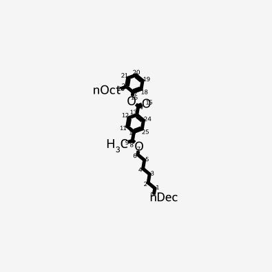 CCCCCCCCCCCCCCCCOC(C)c1ccc(C(=O)Oc2ccccc2CCCCCCCC)cc1